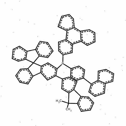 CC1(C)c2ccccc2-c2ccc(-c3cc4c(cc3N(c3ccc(-c5cccc6ccccc56)cc3)c3ccc5c6ccccc6c6ccccc6c5c3)C3(c5ccccc5-c5ccccc53)c3ccccc3-4)cc21